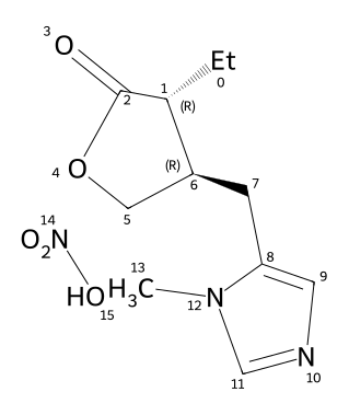 CC[C@H]1C(=O)OC[C@@H]1Cc1cncn1C.O=[N+]([O-])O